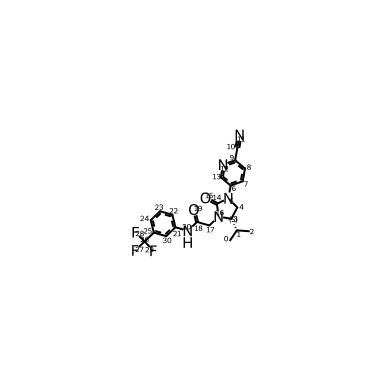 CC(C)[C@H]1CN(c2ccc(C#N)nc2)C(=O)N1CC(=O)Nc1cccc(C(F)(F)F)c1